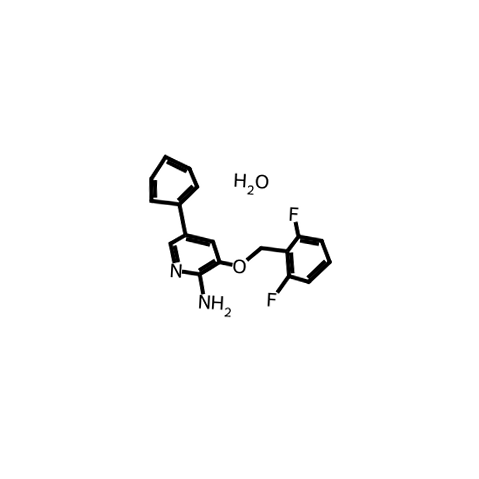 Nc1ncc(-c2ccccc2)cc1OCc1c(F)cccc1F.O